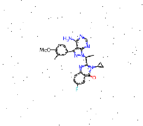 COc1ccc(-c2nn(C(C)c3nc4ccc(F)cc4c(=O)n3C3CC3)c3ncnc(N)c23)cc1C